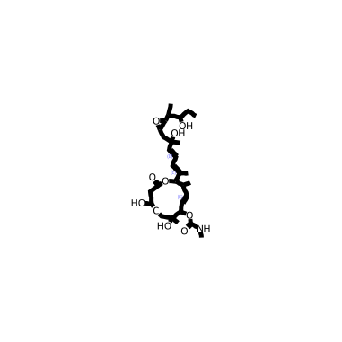 CCC(O)C(C)C1OC1CC(C)(O)/C=C/C=C(\C)C1OC(=O)CC(O)CCC(C)(O)C(OC(=O)NC)/C=C/C1C